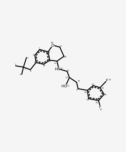 CC(C)(C)Cc1ccc2c(c1)C(NCC(O)CCc1cc(F)cc(F)c1)CCO2